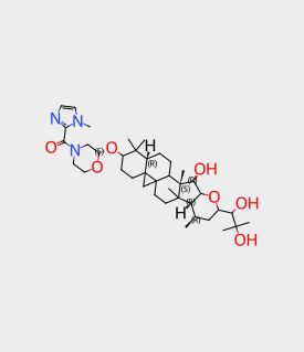 C[C@@H]1CC(C(O)C(C)(C)O)OC2[C@H]1C1(C)CCC34CC35CCC(O[C@H]3CN(C(=O)c6nccn6C)CCO3)C(C)(C)[C@@H]5CCC4[C@]1(C)[C@H]2O